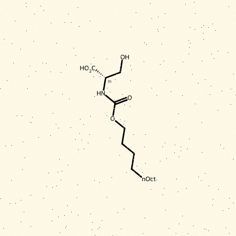 CCCCCCCCCCCCOC(=O)N[C@@H](CO)C(=O)O